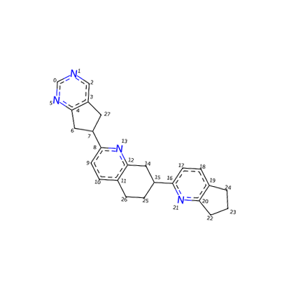 c1ncc2c(n1)CC(c1ccc3c(n1)CC(c1ccc4c(n1)CCC4)CC3)C2